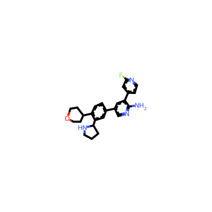 Nc1ncc(-c2ccc(C3CCOCC3)c(C3CCCN3)c2)cc1-c1ccnc(F)c1